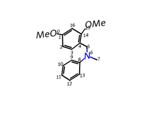 COc1ccc(CN(C)c2ccccc2)c(OC)c1